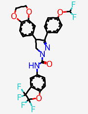 O=C(Nc1ccc2c(c1)C(F)(F)C(F)(F)O2)N1CC(c2ccc3c(c2)OCCO3)C(c2ccc(OC(F)F)cc2)=N1